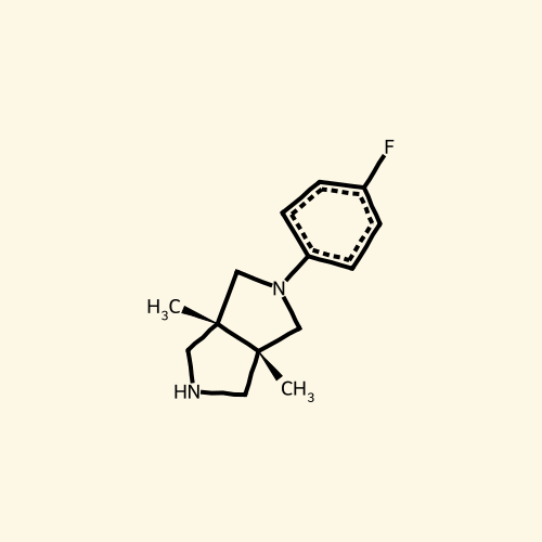 C[C@@]12CNC[C@]1(C)CN(c1ccc(F)cc1)C2